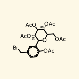 CC(=O)OCC1OC(c2cc(CBr)ccc2OC(C)=O)[C@H](OC(C)=O)C(OC(C)=O)[C@@H]1OC(C)=O